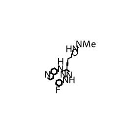 CNCNOCCCC#Cc1cnc(Nc2cccc(F)c2)nc1Nc1ccc2ncccc2c1